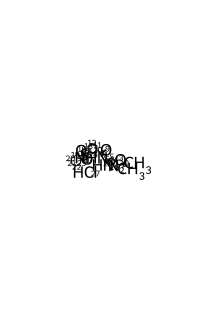 CC(C)Oc1cc(NC(=O)c2cccc(S(=O)(=O)N3CCCCC3)c2)[nH]n1.Cl